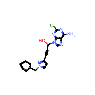 Nc1nc(Cl)nc2c1ncn2[C@H](O)C#Cc1ccn(Cc2ccccc2)n1